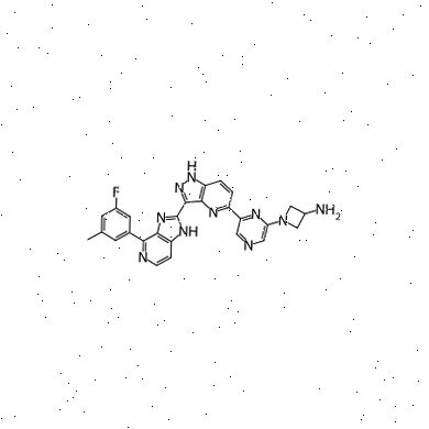 Cc1cc(F)cc(-c2nccc3[nH]c(-c4n[nH]c5ccc(-c6cncc(N7CC(N)C7)n6)nc45)nc23)c1